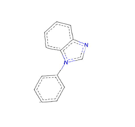 [c]1ccc(-n2cnc3ccccc32)cc1